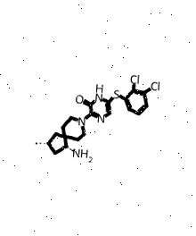 C[C@H]1C[C@@H](N)C2(CCN(c3ncc(Sc4cccc(Cl)c4Cl)[nH]c3=O)CC2)C1